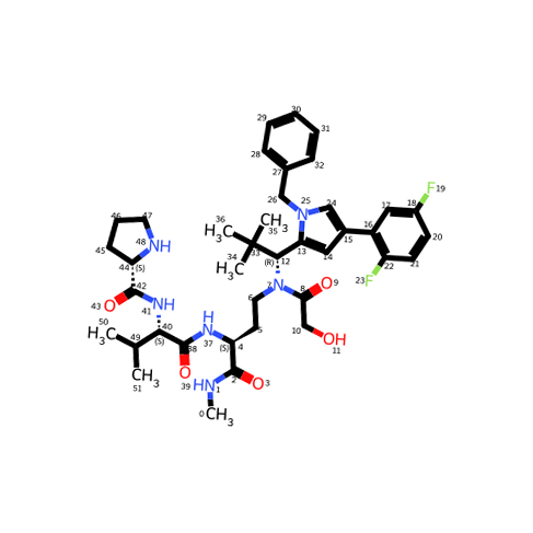 CNC(=O)[C@H](CCN(C(=O)CO)[C@@H](c1cc(-c2cc(F)ccc2F)cn1Cc1ccccc1)C(C)(C)C)NC(=O)[C@@H](NC(=O)[C@@H]1CCCN1)C(C)C